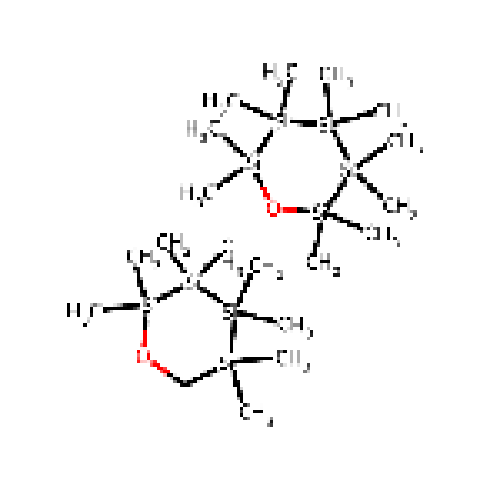 C[Si]1(C)CO[Si](C)(C)[Si](C)(C)[Si]1(C)C.C[Si]1(C)O[Si](C)(C)[Si](C)(C)[Si](C)(C)[Si]1(C)C